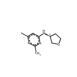 Cc1nc(I)cc(N[C@H]2CCOC2)n1